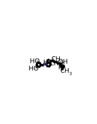 Cc1csc([C@@H](O)CCC[C@@H](C)[C@H]2CC[C@H]3/C(=C/C=C4C[C@@H](O)C[C@H](O)C4)CCC[C@]23C)n1